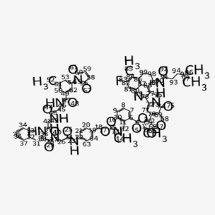 CC[C@@]1(OC(=O)c2ccccc2CN(C)C(=O)OCc2ccc(NC(=O)CNC(=O)[C@H](Cc3ccccc3)NC(=O)CNC(=O)CNC(=O)c3cc(C)cc(N4C(=O)C=CC4=O)c3)cc2)C(=O)OCc2c1cc1n(c2=O)Cc2c-1nc1cc(F)c(C)c3c1c2[C@@H](NC(=O)CCC(C)C)CC3